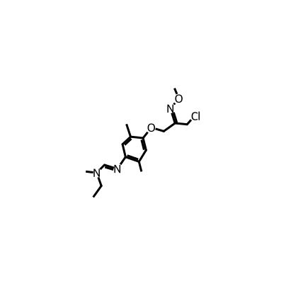 CCN(C)C=Nc1cc(C)c(OCC(CCl)=NOC)cc1C